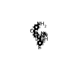 C[C@@H](N1CCN(C(=O)c2ccc(N)cc2)CC1)[C@](O)(Cn1cncn1)c1ccc(F)cc1F